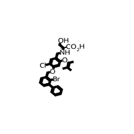 CC(C)=C(C)Oc1cc(OCc2cccc(-c3ccccc3)c2Br)c(Cl)cc1CN[C@@H](CO)C(=O)O